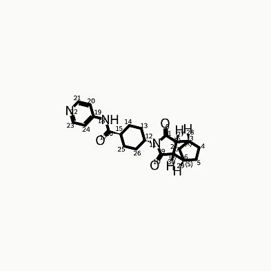 O=C1[C@@H]2[C@@H]3CC[C@@H](C3)[C@@H]2C(=O)N1[C@H]1CC[C@H](C(=O)Nc2ccncc2)CC1